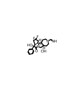 Cl.N=CN1CC[C@@H]2CN(C(=O)[C@](O)(c3ccccc3)[C@@H]3CCC(F)(F)C3)C[C@@H]2CC1